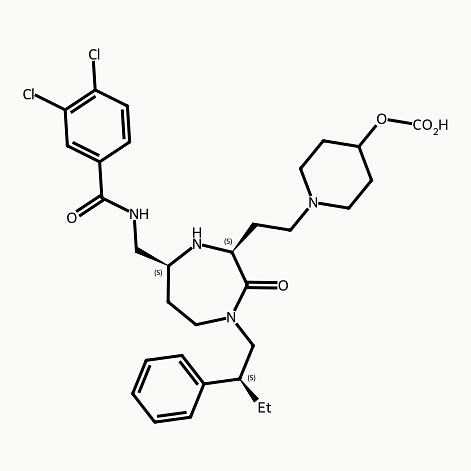 CC[C@H](CN1CC[C@@H](CNC(=O)c2ccc(Cl)c(Cl)c2)N[C@@H](CCN2CCC(OC(=O)O)CC2)C1=O)c1ccccc1